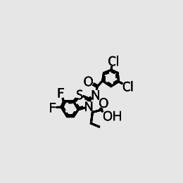 CCC(C(=O)O)n1c(=NC(=O)c2cc(Cl)cc(Cl)c2)sc2c(F)c(F)ccc21